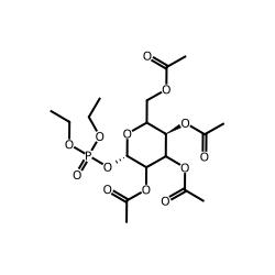 CCOP(=O)(OCC)O[C@@H]1OC(COC(C)=O)[C@@H](OC(C)=O)C(OC(C)=O)C1OC(C)=O